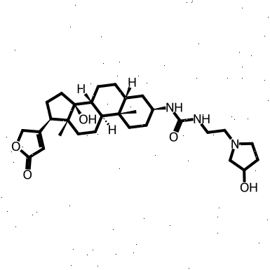 C[C@]12CC[C@H](NC(=O)NCCN3CCC(O)C3)C[C@H]1CC[C@@H]1[C@@H]2CC[C@]2(C)[C@@H](C3=CC(=O)OC3)CC[C@]12O